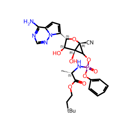 C[C@H](NP(=O)(Oc1ccccc1)OC1[C@@]2(C#N)O[C@@H](c3ccc4c(N)ncnn34)[C@H](O)[C@@]12O)C(=O)OCCC(C)(C)C